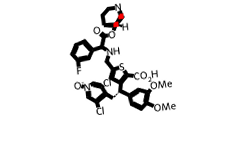 COc1ccc([C@H](Cc2c(Cl)c[n+]([O-])cc2Cl)c2cc(CNC(C(=O)O[C@H]3CN4CCC3CC4)c3cccc(F)c3)sc2C(=O)O)cc1OC